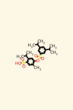 Cc1cc(S(=O)(=O)O)c(C(C)C)cc1OS(=O)(=O)c1cc(C(C)C)cc(C(C)C)c1